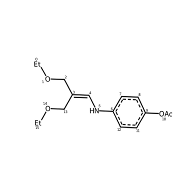 CCOCC(=CNc1ccc(OC(C)=O)cc1)COCC